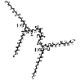 CCCCCCCCCCCCCCC(O)CN(CCN(C)CCC(=O)N(C)CCN(C)C(=O)CCN(C)CCN(CC(=O)OCCCCCCCCCCCC)CC(O)CCCCCCCCCCCCCC)CC(=O)OCCCCCCCCCCCC